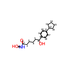 O=C(CCCCC(O)c1ccc(C2CCCC2)cc1)NO